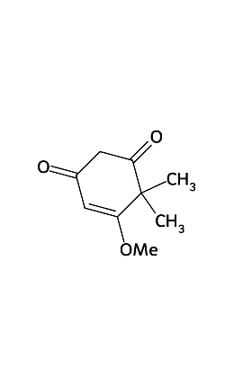 COC1=CC(=O)CC(=O)C1(C)C